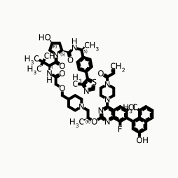 C=CC(=O)N1CCN(c2nc(O[C@H](C)CN3CCC(COCC(=O)N[C@H](C(=O)N4C[C@H](O)C[C@H]4C(=O)N[C@@H](C)c4ccc(-c5scnc5C)cc4)C(C)(C)C)CC3)nc3c(F)c(-c4cc(O)cc5cccc(C)c45)c(Cl)cc23)CC1